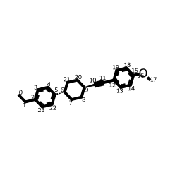 CCc1ccc([C@H]2CC[C@H](C#Cc3ccc(OC)cc3)CC2)cc1